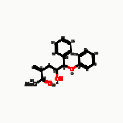 C=C(CC(O)C(Oc1ccccc1)c1ccccc1)C(=O)OC